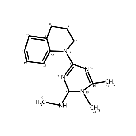 CNC1N=C(N2CCCc3ccccc32)N=C(C)N1C